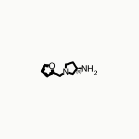 N[C@@H]1CCN(Cc2ccco2)C1